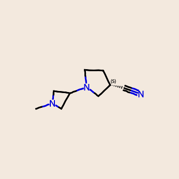 CN1CC(N2CC[C@H](C#N)C2)C1